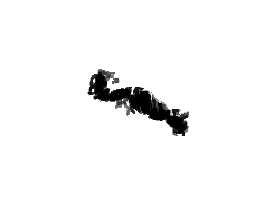 CCc1cc(Nc2nccn3c(-c4ccc(OC(F)F)c(F)c4F)cnc23)ccc1C(=O)N[C@@H](C)CNC(=O)C1CCN(CC2CN(C(=O)OC(=O)C(F)(F)F)C2)CC1